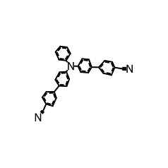 N#Cc1ccc(-c2ccc(N(c3ccccc3)c3ccc(-c4ccc(C#N)cc4)cc3)cc2)cc1